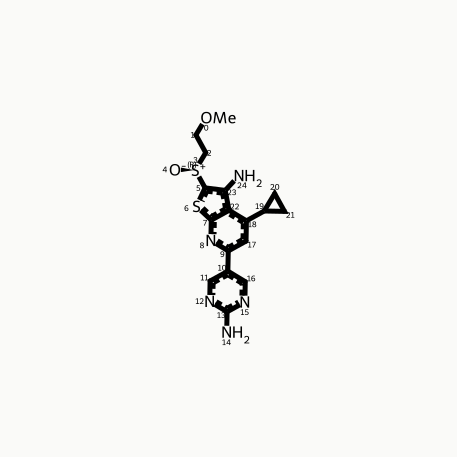 COCC[S@+]([O-])c1sc2nc(-c3cnc(N)nc3)cc(C3CC3)c2c1N